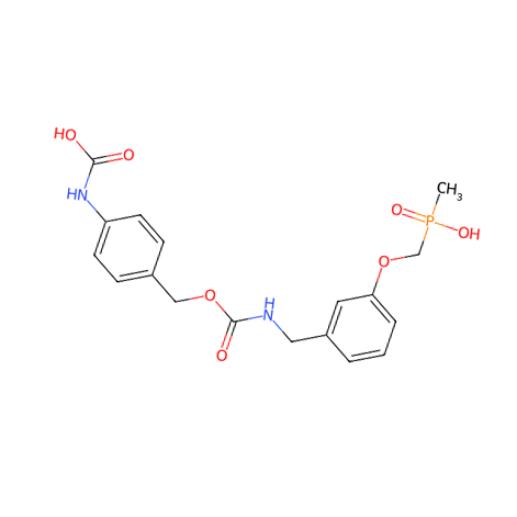 CP(=O)(O)COc1cccc(CNC(=O)OCc2ccc(NC(=O)O)cc2)c1